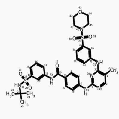 Cc1cnc(Nc2ccc(C(=O)Nc3cccc(S(=O)(=O)NC(C)(C)C)c3)cc2)nc1Nc1cccc(S(=O)(=O)N2CCOCC2)c1